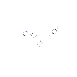 Cc1cc(O)ccc1[C@@H]1[C@@H](SC[C@@H](O)c2ccc(F)cc2)C(=O)N1c1ccc(-c2cncc(C#N)c2)cc1